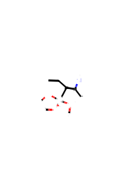 CCC(C(C)N)[Si](OC)(OC)OC